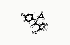 N#Cc1[nH]ncc1C(=O)N(c1ccc(F)cc1)C1CC1